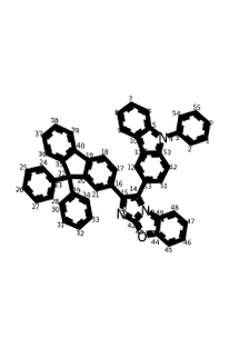 c1ccc(-n2c3ccccc3c3cc(-c4c(-c5ccc6c(c5)C(c5ccccc5)(c5ccccc5)c5ccccc5-6)nc5oc6ccccc6n45)ccc32)cc1